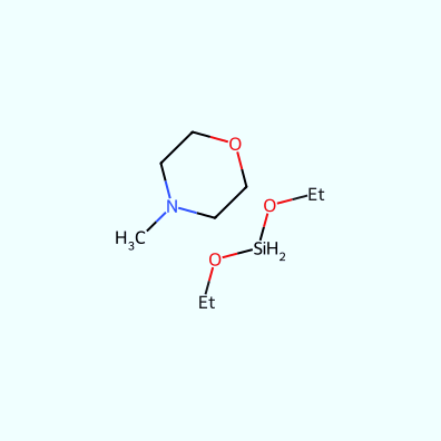 CCO[SiH2]OCC.CN1CCOCC1